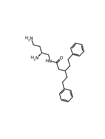 NCC[C@H](N)CNC(=O)CC(CCc1ccccc1)CCc1ccccc1